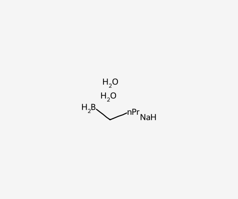 BCCCC.O.O.[NaH]